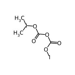 CI(C)OC(=O)OC(=O)OI